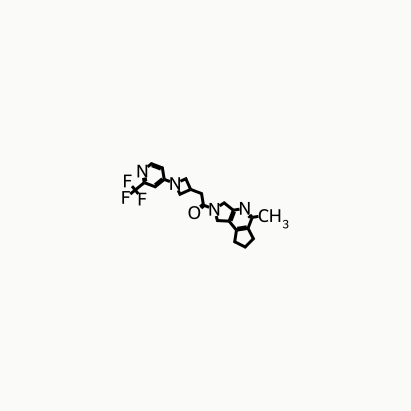 Cc1nc2c(c3c1CCC3)CN(C(=O)CC1CN(c3ccnc(C(F)(F)F)c3)C1)C2